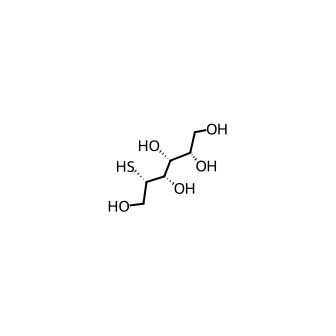 OC[C@H](O)[C@@H](O)[C@H](O)[C@@H](S)CO